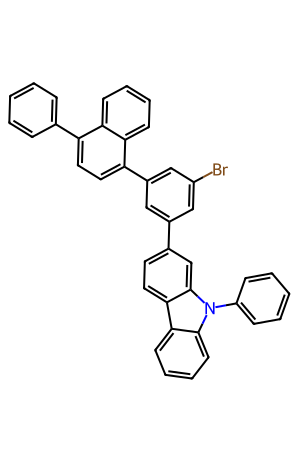 Brc1cc(-c2ccc3c4ccccc4n(-c4ccccc4)c3c2)cc(-c2ccc(-c3ccccc3)c3ccccc23)c1